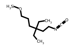 CCC(CC)(CCCO[SiH3])CCN=C=O